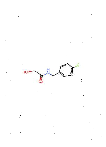 O=C(CO)NCc1ccc(F)cc1